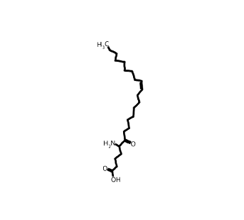 CCCCCCCC/C=C\CCCCCCCC(=O)C(N)CCCC(=O)O